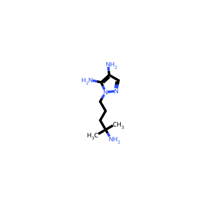 CC(C)(N)CCCn1ncc(N)c1N